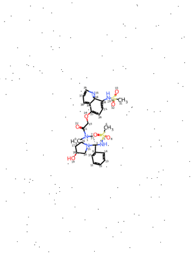 CN(C[C@](NS(C)(=O)=O)(c1ccccc1)N1CC[C@H](O)C1)C(=O)COc1ccc(NS(C)(=O)=O)c2ncccc12